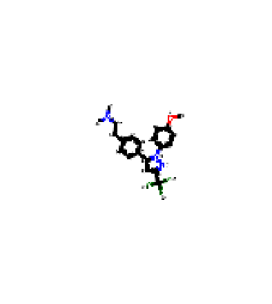 COc1ccc(-n2nc(C(F)(F)F)cc2-c2ccc(CCN(C)C)cc2)cc1